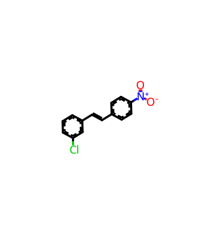 O=[N+]([O-])c1ccc(C=Cc2cccc(Cl)c2)cc1